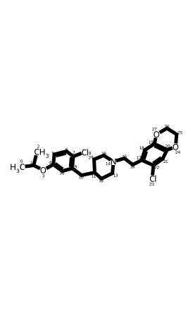 CC(C)Oc1ccc(Cl)c(CC2CCN(CCc3cc4c(cc3Cl)OCCO4)CC2)c1